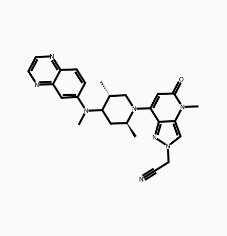 C[C@@H]1CN(c2cc(=O)n(C)c3cn(CC#N)nc23)[C@@H](C)CC1N(C)c1ccc2nccnc2c1